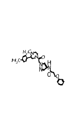 Cc1ccc(C2CN(C(=O)Cn3cc(NC(=O)CCOc4ccccc4)cn3)CCN2C)cc1